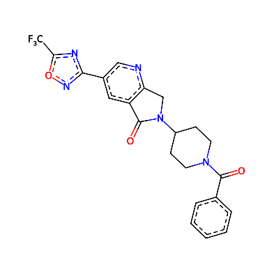 O=C(c1ccccc1)N1CCC(N2Cc3ncc(-c4noc(C(F)(F)F)n4)cc3C2=O)CC1